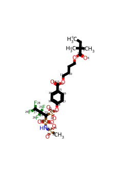 CCC(C)(C)C(=O)OCCCCOC(=O)c1ccc(OS(=O)(=O)C(C(F)(F)C(F)F)S(=O)(=O)NS(C)(=O)=O)cc1